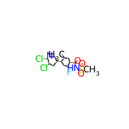 Cc1cc(C(=O)NS(C)(=O)=O)c(F)cc1-c1cnc(Cl)c(Cl)c1